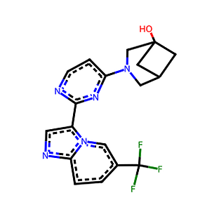 OC12CC(CN(c3ccnc(-c4cnc5ccc(C(F)(F)F)cn45)n3)C1)C2